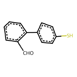 O=Cc1ccccc1-c1ccc(S)cc1